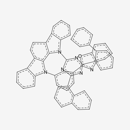 c1ccc(-c2ccccc2-c2nc(-c3cccc4ccccc34)nc(-n3c4ccccc4c4ccc5c6ccccc6n(-c6cccc(-c7nc8ccccc8o7)c6)c5c43)n2)cc1